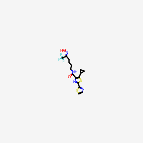 O=C(NCCCC/C(=N/O)C(F)(F)F)c1nc(-c2nccs2)sc1C1CC1